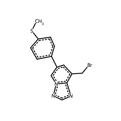 CSc1ccc(-c2cc(CBr)c3ncnn3c2)cc1